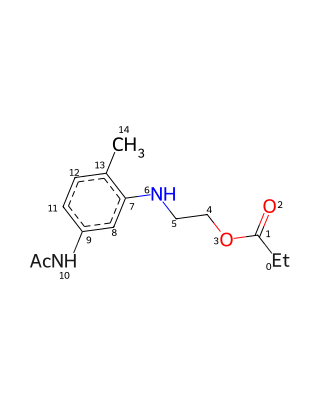 CCC(=O)OCCNc1cc(NC(C)=O)ccc1C